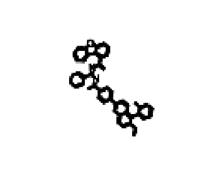 C=C(/N=C(\N=C(/C)c1ccc(-c2ccc3c(-c4ccccc4C)c(CC)ccc3c2)cc1)C1=CCCC=C1)c1cccc2oc3ccccc3c12